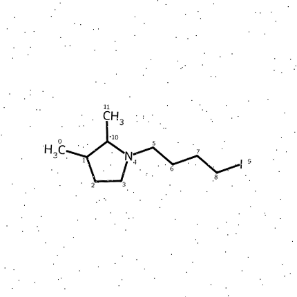 CC1CCN(CCCCI)C1C